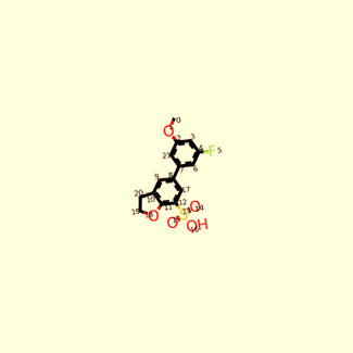 COc1cc(F)cc(-c2cc3c(c(S(=O)(=O)O)c2)OCC3)c1